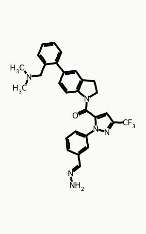 CN(C)Cc1ccccc1-c1ccc2c(c1)CCN2C(=O)c1cc(C(F)(F)F)nn1-c1cccc(C=NN)c1